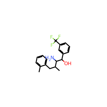 Cc1ccccc1CC(C)C(N)C(O)c1cccc(C(F)(F)F)c1